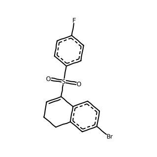 O=S(=O)(C1=CCCc2cc(Br)ccc21)c1ccc(F)cc1